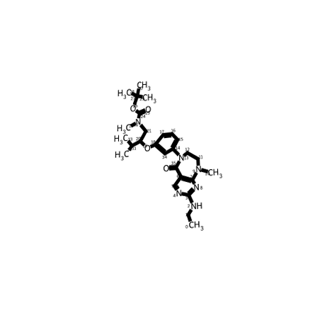 CCNc1ncc2c(n1)N(C)CCN(c1cccc(OC(CN(C)C(=O)OC(C)(C)C)C(C)C)c1)C2=O